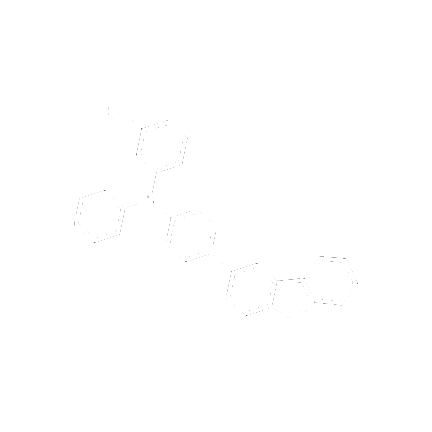 Cc1cccc(N(c2ccccc2)c2ccc(-c3ccc4sc5ccccc5c4c3)cc2)c1